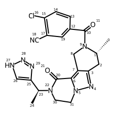 C[C@@H]1Cc2nn3c(c2CN1C(=O)c1ccc(Cl)c(C#N)c1)C(=O)N([C@@H](C)c1c[nH]nn1)CC3